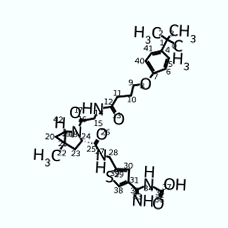 CC(C)(C)c1ccc(OCCCC(=O)NCC(=O)N2[C@H]3C[C@@]3(C)C[C@H]2C(=O)NCc2cc(C(=N)NC(=O)O)cs2)cc1